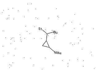 CCC(C)C(CC)C1CC1NC